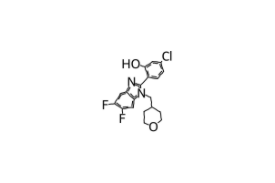 Oc1cc(Cl)ccc1-c1nc2cc(F)c(F)cc2n1CC1CCOCC1